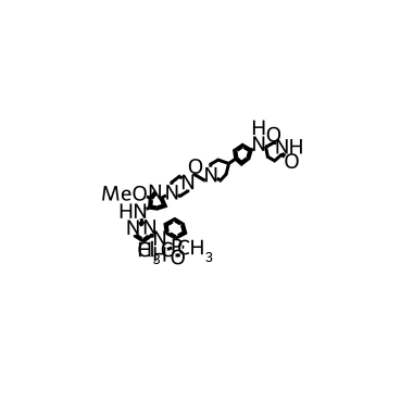 COc1nc(N2CCN(C(=O)CN3CCC(c4ccc(NC5CCC(=O)NC5=O)cc4)CC3)CC2)ccc1Nc1ncc(Cl)c(Nc2ccccc2P(C)(C)=O)n1